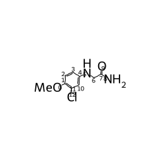 COc1ccc(NCC(N)=O)cc1Cl